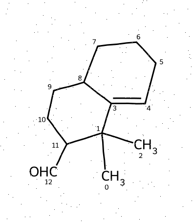 CC1(C)C2=CCCCC2CCC1C=O